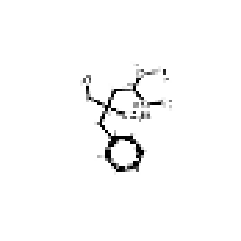 CCOC(=O)C(CCl)(Cc1ccccc1)CC(OCC)OCC